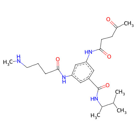 CNCCCC(=O)Nc1cc(NC(=O)CCC(C)=O)cc(C(=O)NC(C)C(C)C)c1